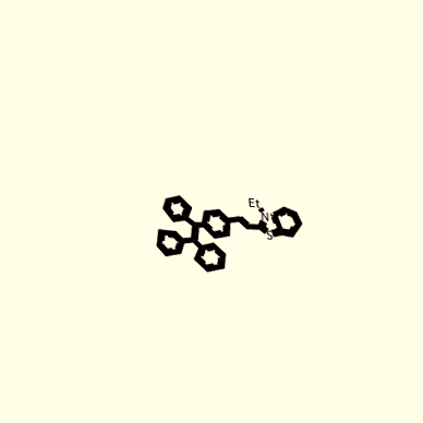 CC[n+]1c(/C=C/c2ccc(C(=C(c3ccccc3)c3ccccc3)c3ccccc3)cc2)sc2ccccc21